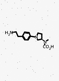 CN(C(=O)O)[C@@H]1CCN(c2ccc(CCN)cc2)C1